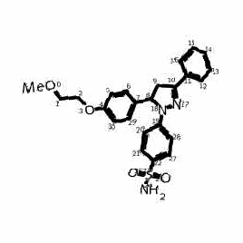 COCCOc1ccc(C2CC(c3ccccc3)=NN2c2ccc(S(N)(=O)=O)cc2)cc1